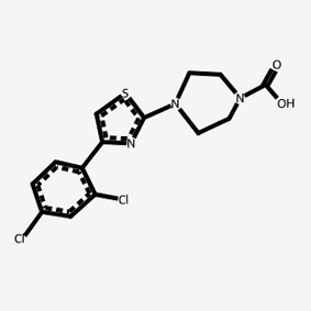 O=C(O)N1CCN(c2nc(-c3ccc(Cl)cc3Cl)cs2)CC1